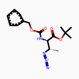 C[C@H](N=[N+]=[N-])[C@@H](NC(=O)OCc1ccccc1)C(=O)OC(C)(C)C